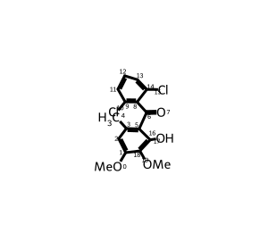 COc1cc(C)c(C(=O)c2c(Cl)cccc2Cl)c(O)c1OC